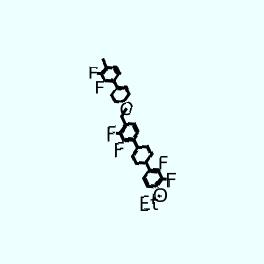 CCOc1ccc(C2CCC(c3ccc(COC4CC=C(c5ccc(C)c(F)c5F)CC4)c(F)c3F)CC2)c(F)c1F